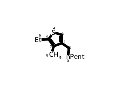 CCCCCCc1csc(CC)c1C